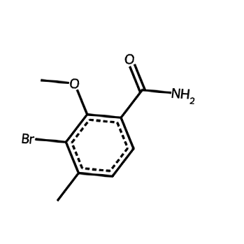 COc1c(C(N)=O)ccc(C)c1Br